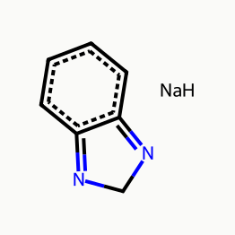 [NaH].c1ccc2c(c1)=NCN=2